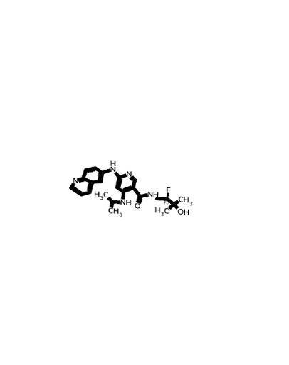 CC(C)Nc1cc(Nc2ccc3ncccc3c2)ncc1C(=O)NC[C@@H](F)C(C)(C)O